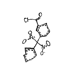 O=C(Cl)c1cccc(C(c2ccccc2)([N+](=O)[O-])[N+](=O)[O-])c1